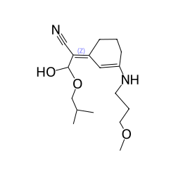 COCCCNC1=C/C(=C(/C#N)C(O)OCC(C)C)CCC1